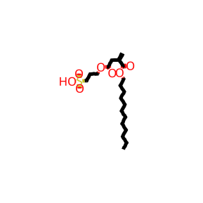 C=C(CC(=O)OCCCS(=O)(=O)O)C(=O)OCCCCCCCCCCCC